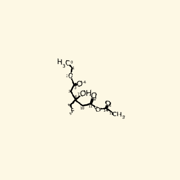 CCOC(=O)CC(O)(CF)CC(=O)OC(C)=O